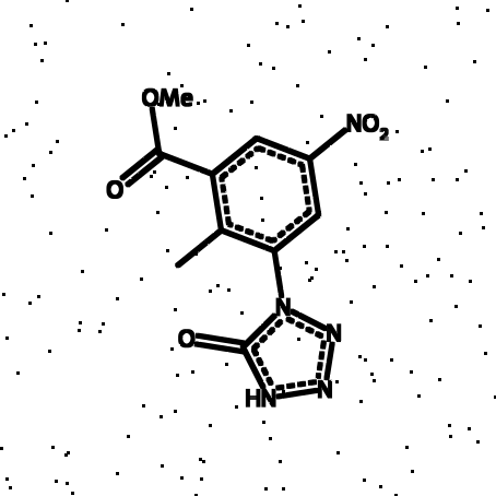 COC(=O)c1cc([N+](=O)[O-])cc(-n2nn[nH]c2=O)c1C